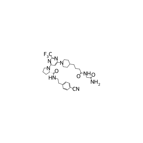 N#Cc1ccc(CCNC(=O)[C@@H]2CCCN2c2cc(N3CCC(CCCC(=O)NCC(N)=O)CC3)nc(C(F)(F)F)n2)cc1